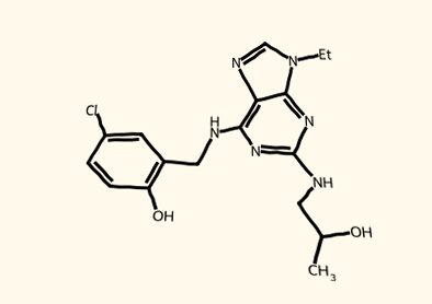 CCn1cnc2c(NCc3cc(Cl)ccc3O)nc(NCC(C)O)nc21